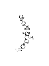 CSC1CCN(c2cccc(CN3NC(c4nc(-c5ccc(OC(F)(F)F)cc5)no4)N=C3C)c2)CC1